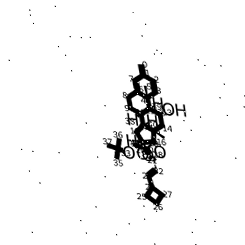 C=C1C=C[C@@]2(C)C(=C1)CC[C@@H]1[C@@H]2[C@@H](O)C[C@@]2(C)[C@H]1C[C@H]1O[C@@H](/C=C/C3CCC3)O[C@]12C(=O)COC(C)(C)C